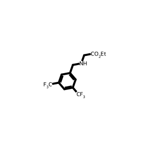 CCOC(=O)CNCc1cc(C(F)(F)F)cc(C(F)(F)F)c1